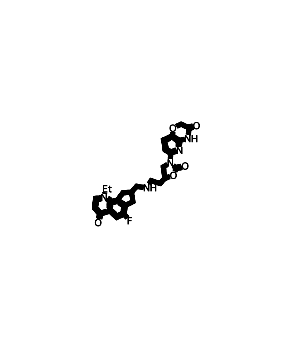 CCn1ccc(=O)c2cc(F)c3c(c21)CC(CNCCC1CN(c2ccc4c(n2)NC(=O)CO4)C(=O)O1)C3